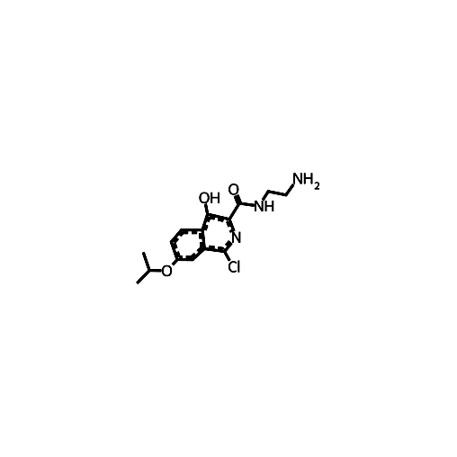 CC(C)Oc1ccc2c(O)c(C(=O)NCCN)nc(Cl)c2c1